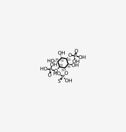 O=P(O)(O)O[C@@H]1[C@@H](O)[C@H](OP(O)(O)=S)[C@@H](OP(=O)(O)O)[C@H](O)[C@@H]1O